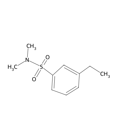 CCc1cccc(S(=O)(=O)N(C)C)c1